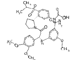 COc1cc(N[C@@H](C(=O)N2CCC[C@@H]2c2cc(NC(=O)O)ccc2S(=O)(=O)C(C)C)c2ccc(OC)c(OC)c2)cc(C(N)=O)c1